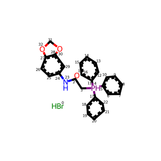 Br.O=C(C[PH](c1ccccc1)(c1ccccc1)c1ccccc1)Nc1ccc2c(c1)OCO2